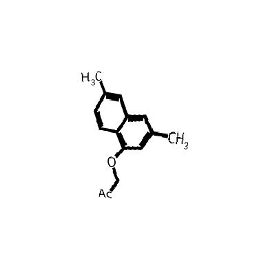 CC(=O)COc1cc(C)cc2cc(C)ccc12